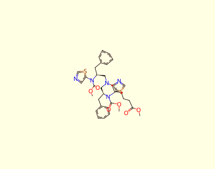 COC(=O)CCCCCN(C[C@H](Cc1ccccc1)N(C(=O)OC)c1cncs1)C[C@H](Cc1ccccc1)N(C(=O)OC)c1cncs1